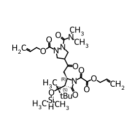 C=CCOC(=O)C(=O)N1C(=O)[C@H]([C@@](C)(O[SiH](C)C)C(C)(C)C)[C@H]1CC(=O)C1CN(C(=O)OCC=C)N(C(=O)N(C)C)C1